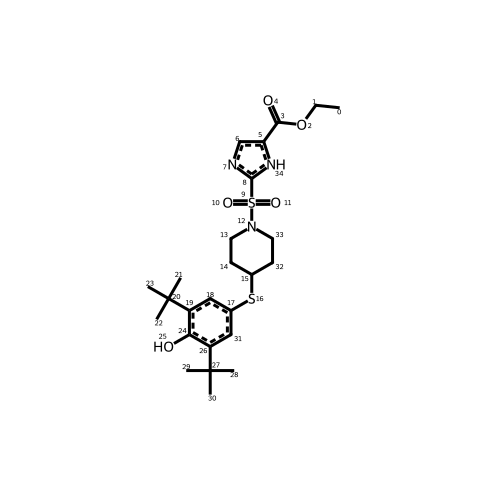 CCOC(=O)c1cnc(S(=O)(=O)N2CCC(Sc3cc(C(C)(C)C)c(O)c(C(C)(C)C)c3)CC2)[nH]1